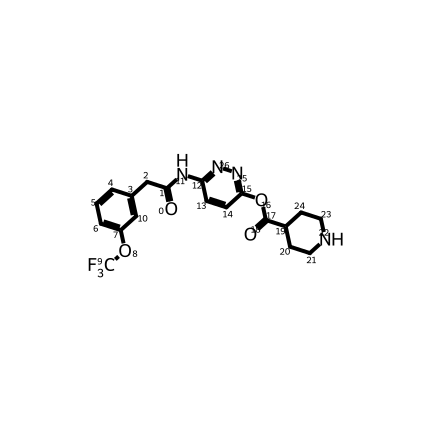 O=C(Cc1cccc(OC(F)(F)F)c1)Nc1ccc(OC(=O)C2CCNCC2)nn1